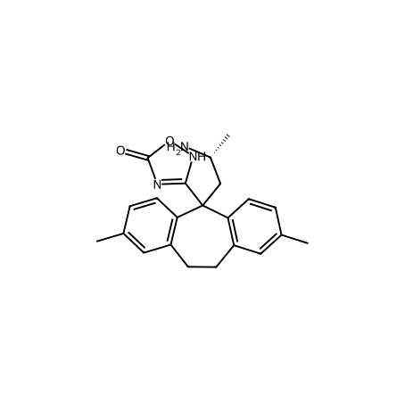 Cc1ccc2c(c1)CCc1cc(C)ccc1C2(C[C@@H](C)N)c1nc(=O)o[nH]1